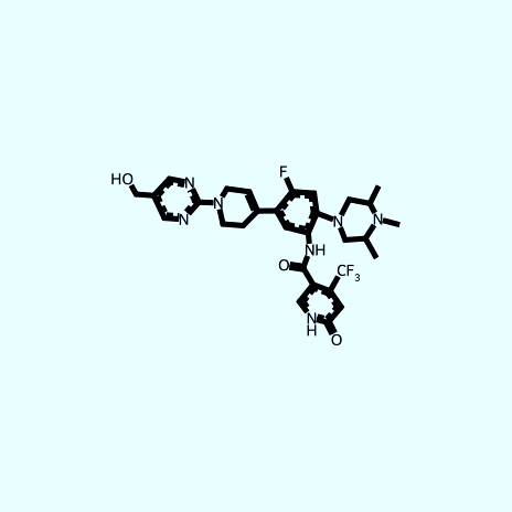 CC1CN(c2cc(F)c(C3=CCN(c4ncc(CO)cn4)CC3)cc2NC(=O)c2c[nH]c(=O)cc2C(F)(F)F)CC(C)N1C